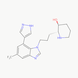 O[C@H]1CCCN[C@@H]1CCCn1cnc2cc(C(F)(F)F)cc(-c3cn[nH]c3)c21